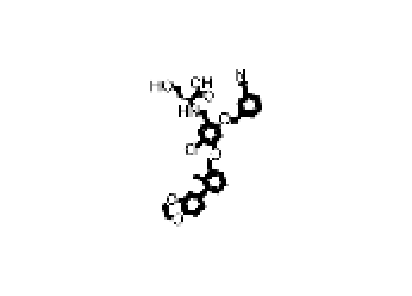 Cc1c(COc2cc(OCc3cccc(C#N)c3)c(CN[C@H](CCO)C(=O)O)cc2Cl)cccc1-c1ccc2c(c1)OCCO2